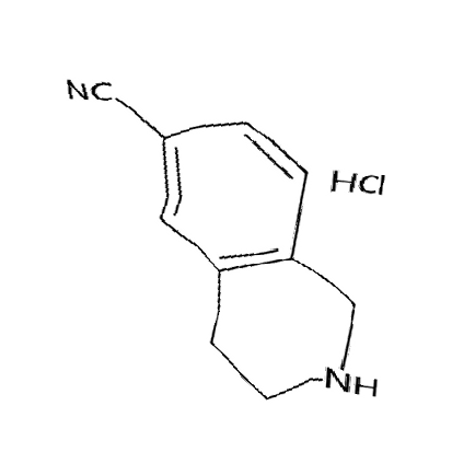 Cl.N#Cc1ccc2c(c1)CCNC2